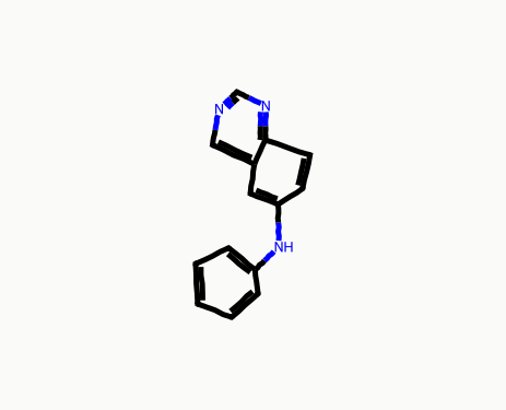 c1ccc(Nc2ccc3ncncc3c2)cc1